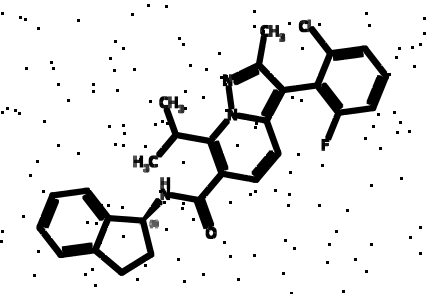 Cc1nn2c(C(C)C)c(C(=O)N[C@H]3CCc4ccccc43)ccc2c1-c1c(F)cccc1Cl